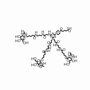 CC(=O)NC1C(OCCCCC(=O)NCCCNC(=O)CCNc2nc(N(CCC(=O)NCCCNC(=O)CCCCOC3OC(CO)C(O)C(O)C3NC(C)=O)CCC(=O)NCCCNC(=O)CCCCOC3OC(CO)C(O)C(O)C3NC(C)=O)nc(N3CCN(C(=O)CCCC(=O)S)CC3)n2)OC(CO)C(O)C1O